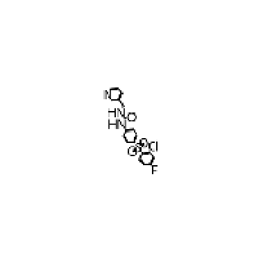 O=C(NCc1cccnc1)Nc1ccc(S(=O)(=O)c2ccc(F)cc2Cl)cc1